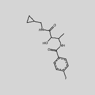 CC(NC(=O)c1ccc(F)cc1)C(O)C(=O)NCC1CC1